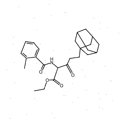 CCOC(=O)C(NC(=O)c1ccccc1C)C(=O)CCC12CC3CC(CC(C3)C1)C2